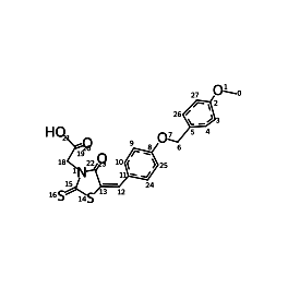 COc1ccc(COc2ccc(C=C3SC(=S)N(CC(=O)O)C3=O)cc2)cc1